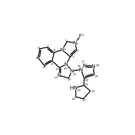 FN1C=C2N(C1)c1ccccc1C1=NCN(n3nncc3C3CCCN3)N21